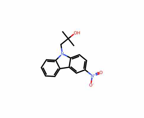 CC(C)(O)Cn1c2ccccc2c2cc([N+](=O)[O-])ccc21